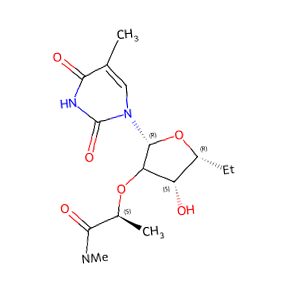 CC[C@H]1O[C@@H](n2cc(C)c(=O)[nH]c2=O)C(O[C@@H](C)C(=O)NC)[C@H]1O